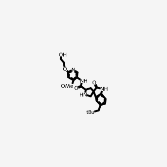 COc1cc(OCCO)ncc1NC(=O)C1CC2(CN1)C(=O)Nc1ccc(CC(C)(C)C)cc12